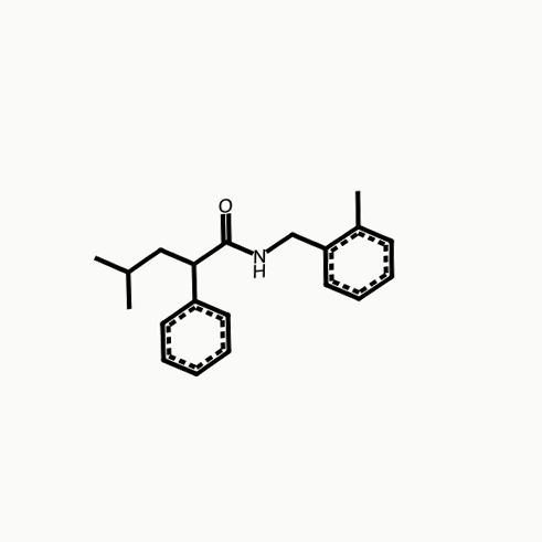 Cc1ccccc1CNC(=O)C(CC(C)C)c1ccccc1